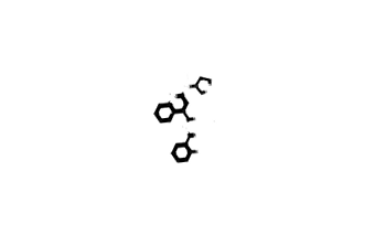 Cc1ccccc1C(=O)NC(C)c1cc(NC2CCOC2)nc2ccccc12